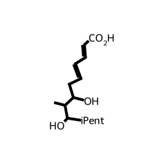 CCCC(C)C(O)C(C)C(O)CC=CC=CC(=O)O